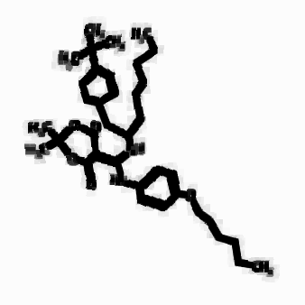 CCCCCCOc1ccc(NC(NC(CCCCCC)Cc2ccc(C(C)(C)C)cc2)=C2C(=O)OC(C)(C)OC2=O)cc1